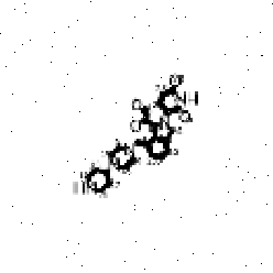 O=CC(=O)C1c2c(CN3CCN(C4CCNCC4)CC3)cccc2CN1C1CCC(=O)NC1=O